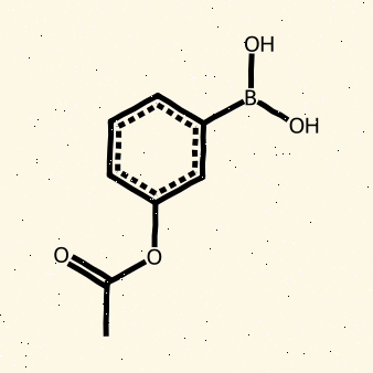 CC(=O)Oc1cccc(B(O)O)c1